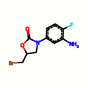 Nc1cc(N2CC(CBr)OC2=O)ccc1F